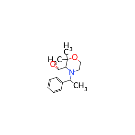 CC(c1ccccc1)N1CCOC(C)(C)C1C=O